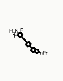 CCCC1=Cc2cc(-c3ccc(C#Cc4cc(F)c(N)c(F)c4)cc3)ccc2C1